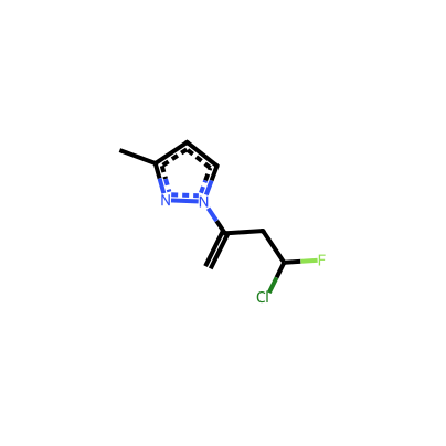 C=C(CC(F)Cl)n1ccc(C)n1